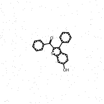 O=C(c1ccccc1)c1sc2cc(O)ccc2c1-c1ccccc1